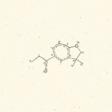 CCC(=O)c1ccc2c(c1)C(C)(C)CO2